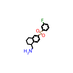 NCC1CCCc2cc(S(=O)(=O)c3cccc(F)c3)ccc21